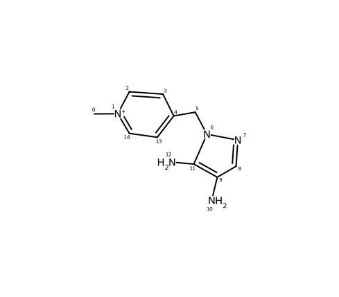 C[n+]1ccc(Cn2ncc(N)c2N)cc1